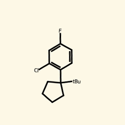 CC(C)(C)C1(c2ccc(F)cc2Cl)CCCC1